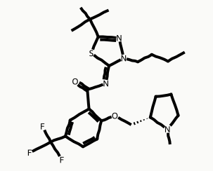 CCCCn1nc(C(C)(C)C)sc1=NC(=O)c1cc(C(F)(F)F)ccc1OC[C@@H]1CCCN1C